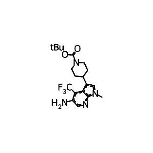 Cn1cc(C2CCN(C(=O)OC(C)(C)C)CC2)c2c(C(F)(F)F)c(N)cnc21